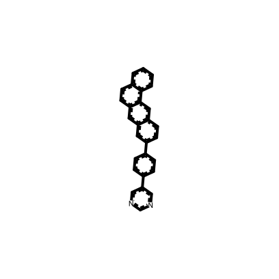 c1ccc2c(c1)ccc1cc3cc(-c4ccc(-c5cncnc5)cc4)ccc3cc12